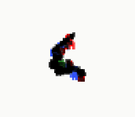 CCOC(=O)C[C@H](O)CNCc1cnc2cc(-c3cccc(-c4cccc(-c5ccc(CNC[C@H]6CCC(=O)N6)c(OC)n5)c4Cl)c3Cl)ccn2c1=O